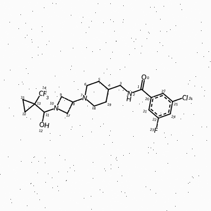 O=C(NCC1CCN(C2CN(C(O)C3(C(F)(F)F)CC3)C2)CC1)c1cc(F)cc(Cl)c1